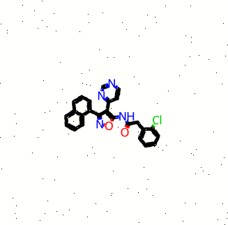 O=C(Cc1ccccc1Cl)Nc1onc(-c2cccc3ccccc23)c1-c1ccncn1